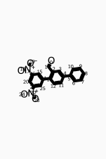 O=Cc1cc(-c2ccccc2)ccc1-c1cc([N+](=O)[O-])cc([N+](=O)[O-])c1